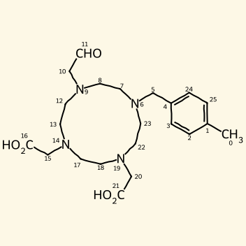 Cc1ccc(CN2CCN(CC=O)CCN(CC(=O)O)CCN(CC(=O)O)CC2)cc1